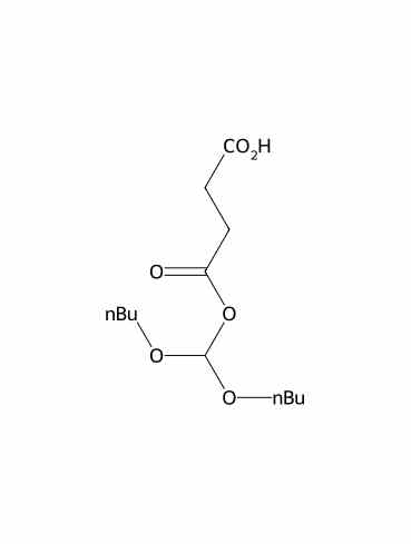 CCCCOC(OCCCC)OC(=O)CCC(=O)O